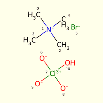 C[N+](C)(C)C.[Br-].[O-][Cl+3]([O-])([O-])O